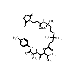 Cc1ccc(NC(=O)[C@H](C)NC(=O)C(NC(=O)CCC(C)(C)OCCC(C)(C)NC(=O)CCN2C(=O)CCC2=O)C(C)C)cc1